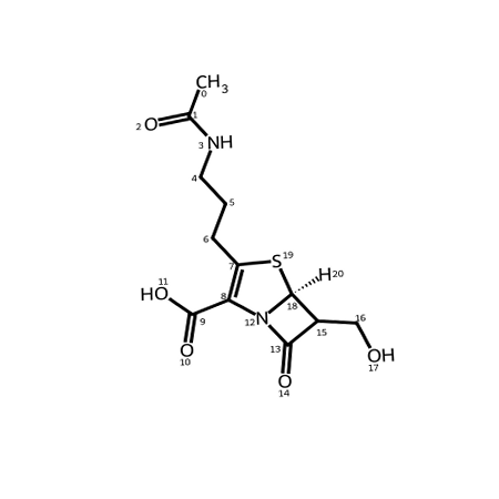 CC(=O)NCCCC1=C(C(=O)O)N2C(=O)C(CO)[C@@H]2S1